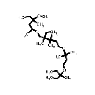 CCC(C)(CC(C)OCC(C)(CC)C(C)(C)CCOC(C)(C)CCOC(C)(CC)CC)OC